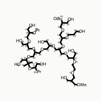 COCC(CO)COCCOC(CO)COCC(COC(CO)COCC(COC(CO)C(C)(C)OC(CO)C(C)C)OCC(CO)OCC(CO)OC(C)C)OCC(COCC(CO)OCC(C)C)OCCCO